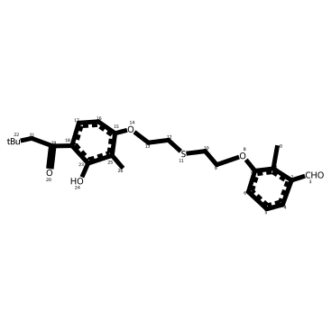 Cc1c(C=O)cccc1OCCSCCOc1ccc(C(=O)CC(C)(C)C)c(O)c1C